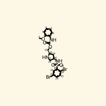 COc1ccccc1NC(=O)OC[C@H]1C[C@@H](NS(=O)(=O)c2cc(Br)ccc2Br)CN1